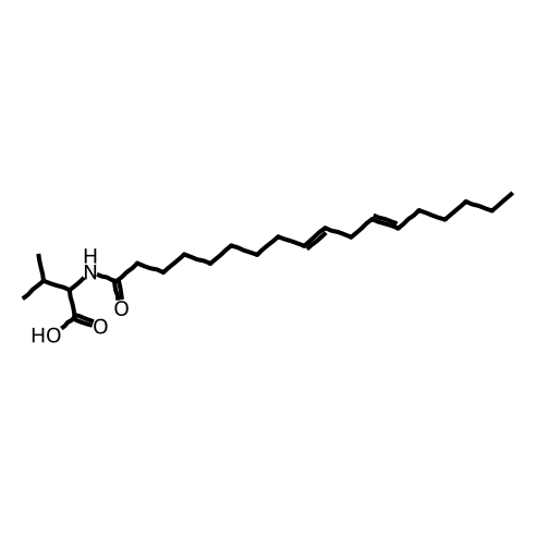 CCCCCC=CCC=CCCCCCCCC(=O)NC(C(=O)O)C(C)C